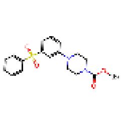 CC(C)(C)OC(=O)N1CCN(c2cccc(S(=O)(=O)c3ccccc3)c2)CC1